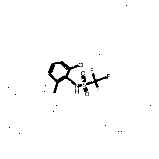 Cc1cccc(Cl)c1NS(=O)(=O)C(F)(F)F